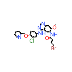 COc1cc2ncnc(Nc3ccc(OCc4ccccn4)c(Cl)c3)c2cc1NC(=O)C=CCBr